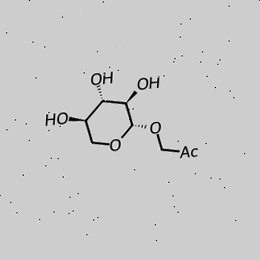 CC(=O)CO[C@@H]1OC[C@@H](O)[C@H](O)[C@H]1O